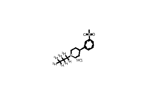 Cl.[2H]C([2H])([2H])C([2H])([2H])C([2H])([2H])N1CCC(c2cccc(S(C)(=O)=O)c2)CC1